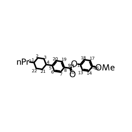 CCCC1CCC(c2ccc(C(=O)Oc3ccc(OC)cc3)cc2)CC1